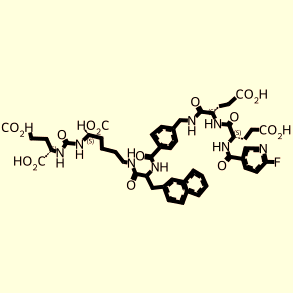 O=C(O)CC[C@H](NC(=O)N[C@@H](CCCCNC(=O)C(Cc1ccc2ccccc2c1)NC(=O)c1ccc(CNC(=O)[C@H](CCC(=O)O)NC(=O)[C@H](CCC(=O)O)NC(=O)c2ccc(F)nc2)cc1)C(=O)O)C(=O)O